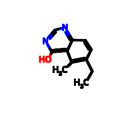 CCc1ccc2ncnc(O)c2c1C